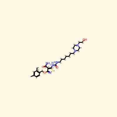 Cc1ccc(COc2nsc(NC(=O)NCCCCCCCN3CCN(CCO)CC3)c2C(N)=O)c(C)c1